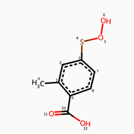 Cc1cc(SOO)ccc1C(=O)O